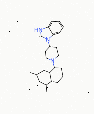 CC1CC(C)C2CCCC(N3CCC(N4[CH]Nc5ccccc54)CC3)C2C1